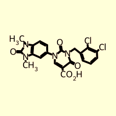 Cn1c(=O)n(C)c2cc(-n3cc(C(=O)O)c(=O)n(Cc4cccc(Cl)c4Cl)c3=O)ccc21